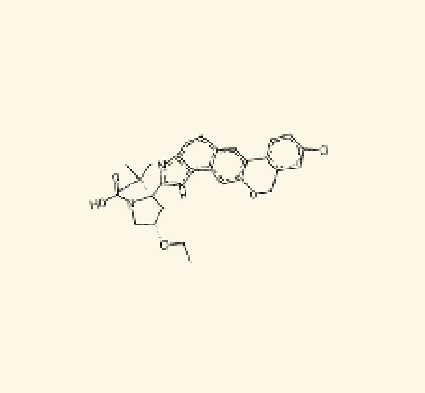 CCO[C@@H]1CN(C(=O)O)[C@](c2nc3ccc4cc5c(cc4c3[nH]2)OCc2cc(Cl)ccc2-5)(C(C)(C)C)C1